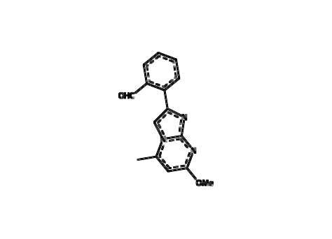 COc1cc(C)n2cc(-c3ccccc3C=O)nc2n1